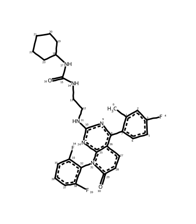 Cc1cc(F)ccc1-c1nc(NCCNC(=O)NC2CCCCC2)nc2c1ccc(=O)n2-c1c(F)cccc1F